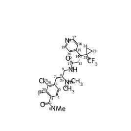 CNC(=O)c1ccc(C[C@@H](CNC(=O)C[C@H](c2ccncc2)C2(C(F)(F)F)CC2)N(C)C)c(Cl)c1F